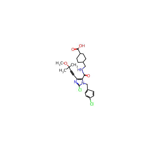 COC(C)(C)C#Cc1nc(Cl)n(Cc2ccc(Cl)cc2)c1C(=O)NCC1CCC(C(=O)O)CC1